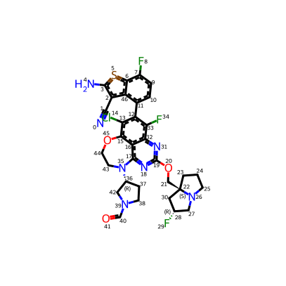 N#Cc1c(N)sc2c(F)ccc(-c3c(Cl)c4c5c(nc(OC[C@@]67CCCN6C[C@H](F)C7)nc5c3F)N([C@@H]3CCN(C=O)C3)CCO4)c12